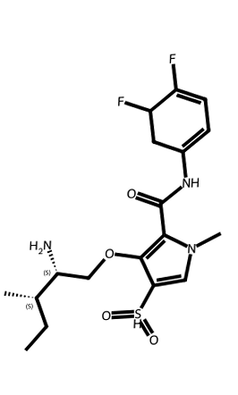 CC[C@H](C)[C@H](N)COc1c([SH](=O)=O)cn(C)c1C(=O)NC1=CC=C(F)C(F)C1